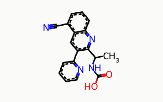 CC(NC(=O)O)c1nc2cccc(C#N)c2cc1-c1ccccn1